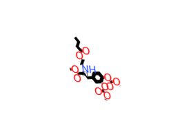 CCCC(=O)OCCN[C@@H](Cc1ccc(OC(=O)OC)c(OC(=O)OC)c1)C(=O)OC